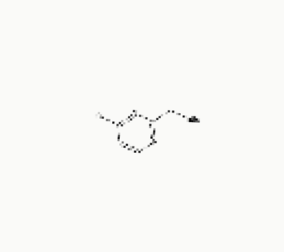 CCCCCc1nccc(O)n1